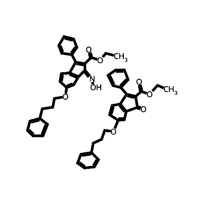 CCOC(=O)C1=C(c2ccccc2)c2ccc(OCCCc3ccccc3)cc2C1=NO.CCOC(=O)C1=C(c2ccccc2)c2ccc(OCCCc3ccccc3)cc2C1=O